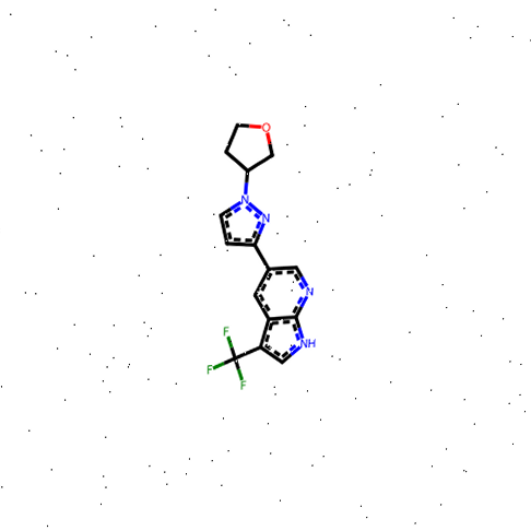 FC(F)(F)c1c[nH]c2ncc(-c3ccn(C4CCOC4)n3)cc12